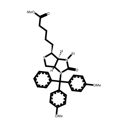 CCN1C(=O)N(C(c2ccccc2)(c2ccc(OC)cc2)c2ccc(OC)cc2)[C@H]2CS[C@@H](CCCCC(=O)OC)[C@H]21